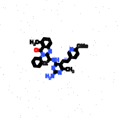 CCC(Nc1nc(N)nc(C)c1/C=C/c1ccc(OC)nc1)c1nc2cccc(C)c2c(=O)n1-c1ccccc1